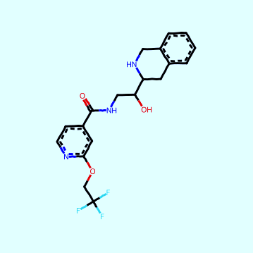 O=C(NCC(O)C1Cc2ccccc2CN1)c1ccnc(OCC(F)(F)F)c1